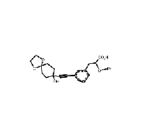 CC(C)OC(Cc1cccc(C#CC2(O)CCC3(CC2)OCCO3)c1)C(=O)O